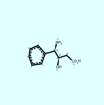 N[C@H](c1ccccc1)[C@H](O)CC(=O)O